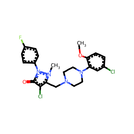 COc1ccc(Cl)cc1N1CCN(Cc2c(Cl)c(=O)n(-c3ccc(F)cc3)n2C)CC1